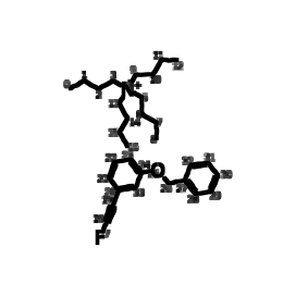 CCCC[N+](CCCC)(CCCC)CCCC.FC#Cc1cccc(OCc2ccccc2)c1